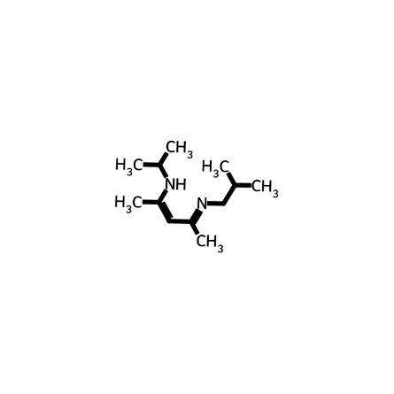 CC(=CC(C)=NCC(C)C)NC(C)C